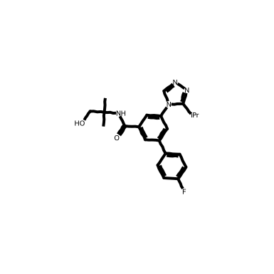 CC(C)c1nncn1-c1cc(C(=O)NC(C)(C)CO)cc(-c2ccc(F)cc2)c1